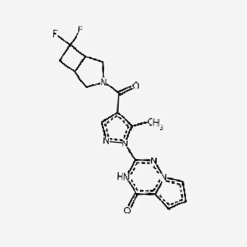 Cc1c(C(=O)N2CC3CC(F)(F)C3C2)cnn1-c1nn2cccc2c(=O)[nH]1